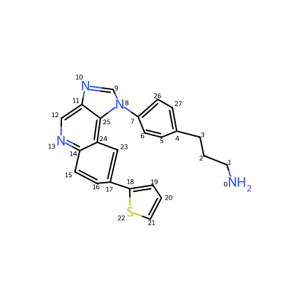 NCCCc1ccc(-n2cnc3cnc4ccc(-c5cccs5)cc4c32)cc1